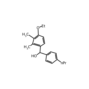 CCCc1ccc(C(O)c2ccc(OCC)c(C)c2C)cc1